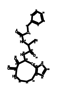 CC(C)C(NC(=O)OCc1ccccc1)C(=O)NC1Cc2ocnc2CCCNC(=O)C1=O